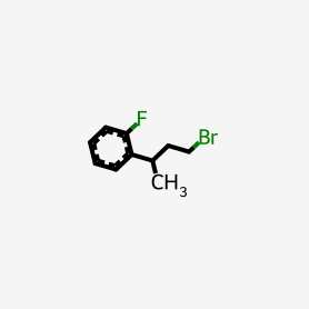 CC(CCBr)c1ccccc1F